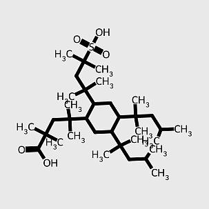 CC(C)CC(C)(C)C1CC(C(C)(C)CC(C)(C)C(=O)O)C(C(C)(C)CC(C)(C)S(=O)(=O)O)CC1C(C)(C)CC(C)C